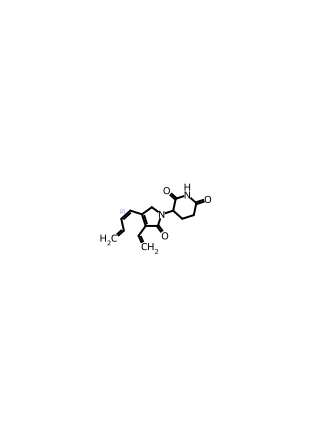 C=C/C=C\C1=C(C=C)C(=O)N(C2CCC(=O)NC2=O)C1